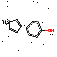 C1=C[SiH2]C=C1.Oc1ccccc1